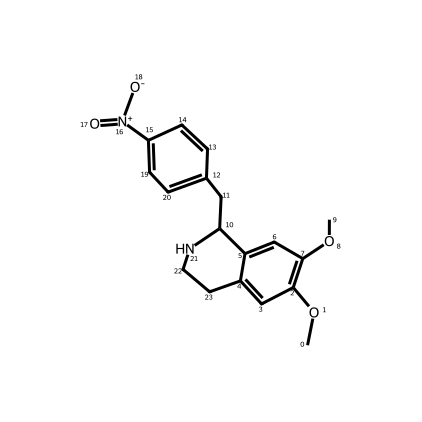 COc1cc2c(cc1OC)C(Cc1ccc([N+](=O)[O-])cc1)NCC2